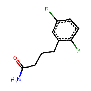 NC(=O)CCCc1cc(F)ccc1F